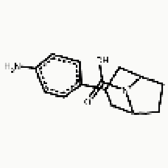 Nc1ccc(C2CC3CCC(C2)N3C(=O)O)cc1